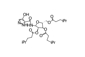 CC(C)CCC(=O)OC[C@H]1OC(NC(=O)c2[nH]ncc2O)[C@H](OC(=O)CCC(C)C)[C@@H]1OC(=O)CCC(C)C